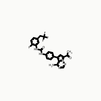 CC(=O)c1cc(-c2ccc(NC(=O)Nc3cc(CC(F)(F)F)ccc3F)cc2)c2c(N)ncnn12